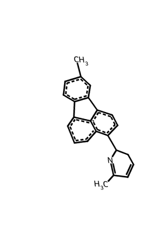 CC1=NC(c2ccc3c4c(cccc24)-c2ccc(C)cc2-3)CC=C1